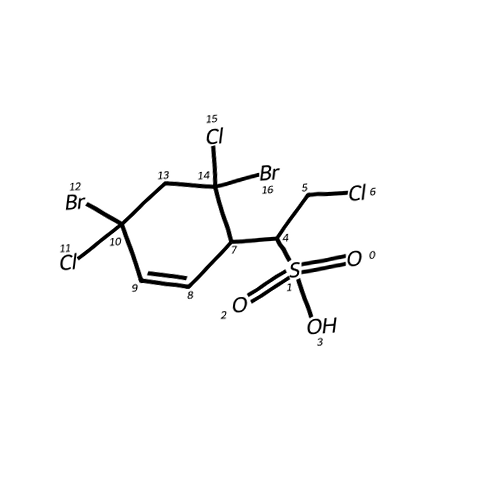 O=S(=O)(O)C(CCl)C1C=CC(Cl)(Br)CC1(Cl)Br